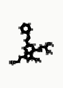 CCCc1nn(C)c2c(NCC(C)C)nc(/C=C/c3ccccc3)nc12